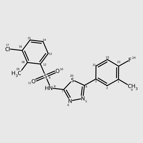 Cc1cc(-c2nnc(NS(=O)(=O)c3cccc(Cl)c3C)s2)ccc1F